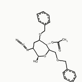 CC(=O)O[C@H]1C(OCc2ccccc2)CC(N=[N+]=[N-])[C@H](O)OC1COCc1ccccc1